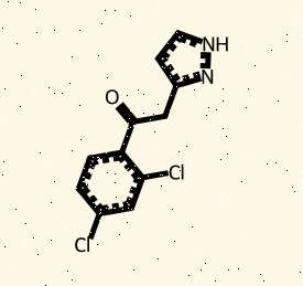 O=C(Cc1cc[nH]n1)c1ccc(Cl)cc1Cl